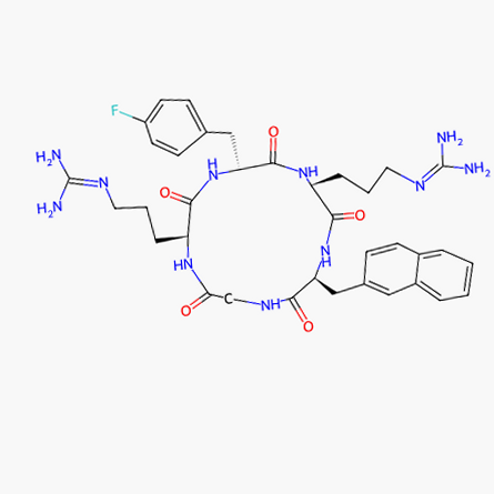 NC(N)=NCCC[C@@H]1NC(=O)CNC(=O)[C@H](Cc2ccc3ccccc3c2)NC(=O)[C@H](CCCN=C(N)N)NC(=O)[C@@H](Cc2ccc(F)cc2)NC1=O